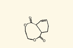 O=C1OCCOC(=O)C2CCC=CC12